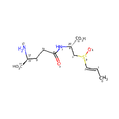 CC=C[S+]([O-])C[C@H](NC(=O)CC[C@H](N)C(=O)O)C(=O)O